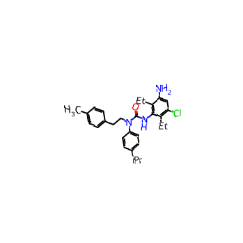 CCc1c(N)cc(Cl)c(CC)c1NC(=O)N(CCc1ccc(C)cc1)c1ccc(C(C)C)cc1